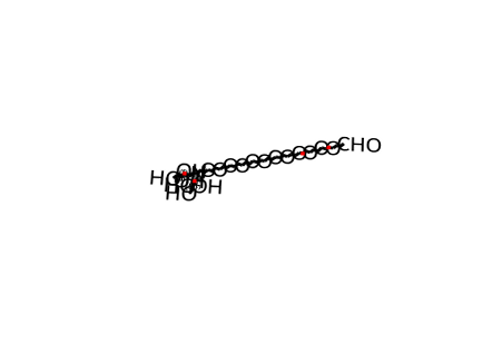 O=CCCOCCOCCOCCOCCOCCOCCOCCOCCOCCOCCOCCOCCN(CC[C@@H](O)[C@@H](O)CO)CC[C@@H](O)[C@@H](O)CO